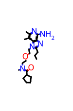 CCCc1nc2c(N)nc(C)c(C)c2n1CCOCCN(C)C(=O)C1CCCC1